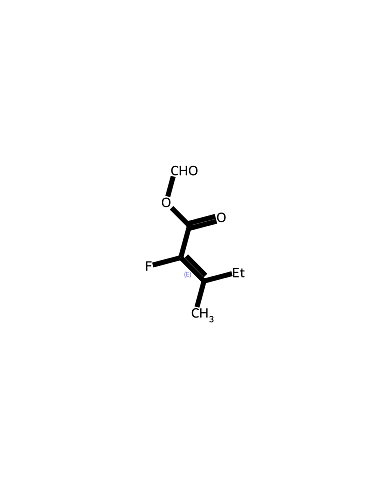 CC/C(C)=C(/F)C(=O)OC=O